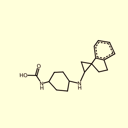 O=C(O)NC1CCC(NC2CC23CCc2ccccc23)CC1